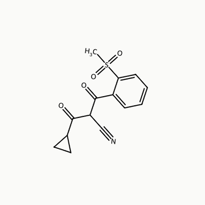 CS(=O)(=O)c1ccccc1C(=O)C(C#N)C(=O)C1CC1